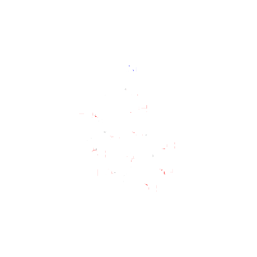 NCC(=O)O[C@@H]1[C@@H](O)[C@@H](O[C@H]2O[C@H](CO)[C@@H](O)[C@H](O)[C@H]2O)O[C@H](CO)[C@H]1O